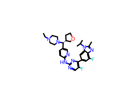 CCN1CCN([C@@H](c2ccc(Nc3ncc(F)c(-c4cc(F)c5nc(C)n(C(C)C)c5c4)n3)nc2)C2CCOC2)CC1